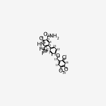 NC(=O)c1cc(-c2ccc(OCc3cc4c(cc3Cl)OCO4)cc2)c(C(F)(F)F)[nH]c1=O